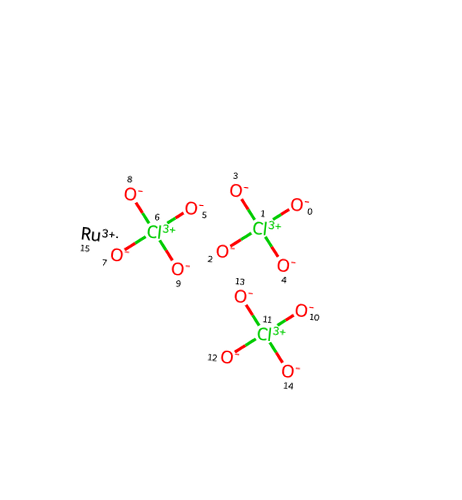 [O-][Cl+3]([O-])([O-])[O-].[O-][Cl+3]([O-])([O-])[O-].[O-][Cl+3]([O-])([O-])[O-].[Ru+3]